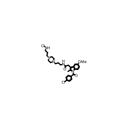 COc1ccc2c(c1)c(CC(=O)NCCCN1CCN(CCCNCl)CC1)c(C)n2C(=O)c1ccc(Cl)cc1